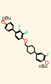 CCCCOc1ccc(-c2ccc(OCC3CCC(c4ccc(OCCCC)c(F)c4)CC3)c(F)c2F)cc1